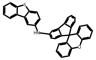 c1ccc2c(c1)Oc1ccccc1C21c2ccccc2-c2cc(Nc3ccc4sc5ccccc5c4c3)ccc21